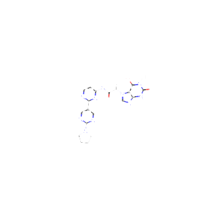 CC(C(=O)Nc1ccnc(-c2cnc(N3CCC[C@@H]3C)nc2)n1)n1cnc2c1c(=O)n(C)c(=O)n2C